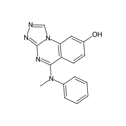 CN(c1ccccc1)c1nc2nncn2c2cc(O)ccc12